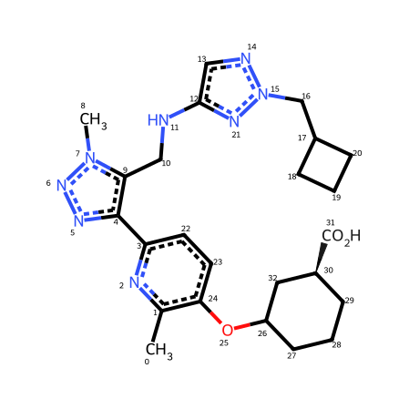 Cc1nc(-c2nnn(C)c2CNc2cnn(CC3CCC3)n2)ccc1OC1CCC[C@H](C(=O)O)C1